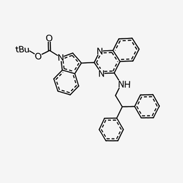 CC(C)(C)OC(=O)n1cc(-c2nc(NCC(c3ccccc3)c3ccccc3)c3ccccc3n2)c2ccccc21